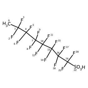 CC(F)(F)C(F)(F)C(F)(F)C(F)(F)C(F)(F)C(F)(F)C(F)(F)S(=O)(=O)O